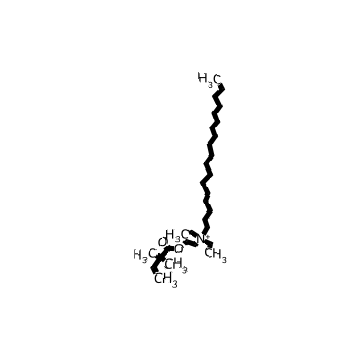 CCCCCCCCCCCCCCCCCC[N+](CC)(CC)CCOC(=O)C(C)(C)CC